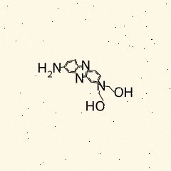 Nc1ccc2nc3ccc(N(CCO)CCO)cc3nc2c1